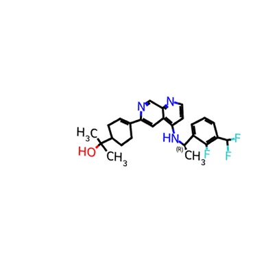 C[C@@H](Nc1ccnc2cnc(C3=CCC(C(C)(C)O)CC3)cc12)c1cccc(C(F)F)c1F